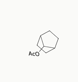 CC(=O)OC1C2CCC1CC2